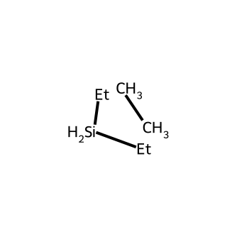 CC.CC[SiH2]CC